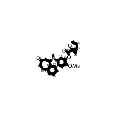 COc1ccc(N(C)C2=CC(=O)CCc3ccccc32)cc1OC(=O)C12CC1C=CO2